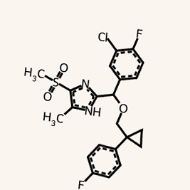 Cc1[nH]c(C(OCC2(c3ccc(F)cc3)CC2)c2ccc(F)c(Cl)c2)nc1S(C)(=O)=O